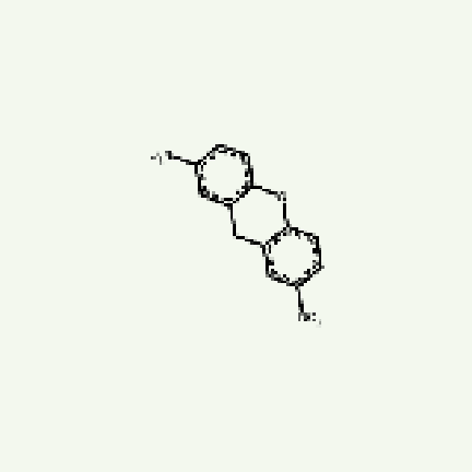 O=[N+]([O-])c1ccc2c(c1)[CH]c1cc([N+](=O)[O-])ccc1O2